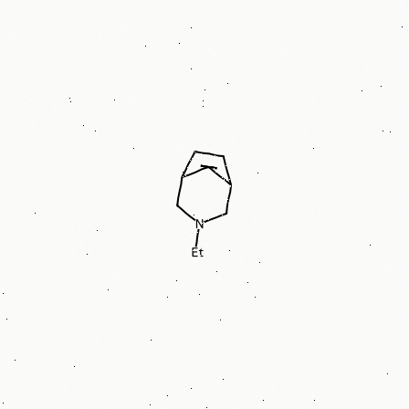 CCN1CC2CCC(C1)C21CC1